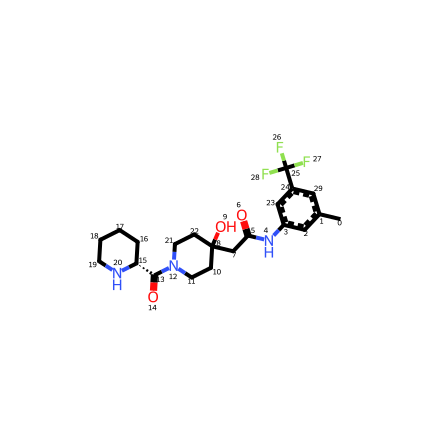 Cc1cc(NC(=O)CC2(O)CCN(C(=O)[C@H]3CCCCN3)CC2)cc(C(F)(F)F)c1